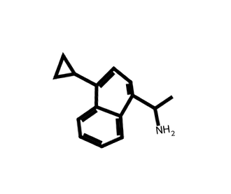 CC(N)c1ccc(C2CC2)c2ccccc12